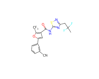 CC(F)(F)Cc1nsc(NC(=O)c2cc(-c3cccc(C#N)c3)oc2C(F)(F)F)n1